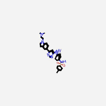 Cc1ccc(S(=O)(=O)Nc2ccc(Nc3cc(-c4ccc5c(ccn5CCN(C)C)c4)ncn3)cc2)cc1